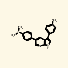 CN(C)c1ccc(-c2cnc3[nH]cc(-c4ccc(N)cc4)c3c2)cc1